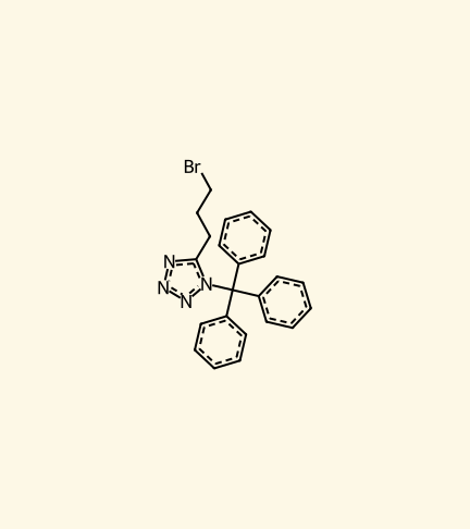 BrCCCc1nnnn1C(c1ccccc1)(c1ccccc1)c1ccccc1